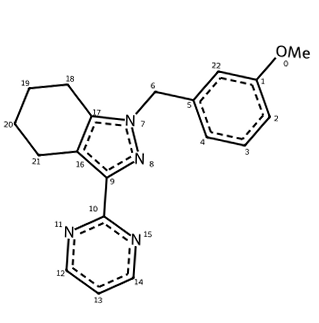 COc1cccc(Cn2nc(-c3ncccn3)c3c2CCCC3)c1